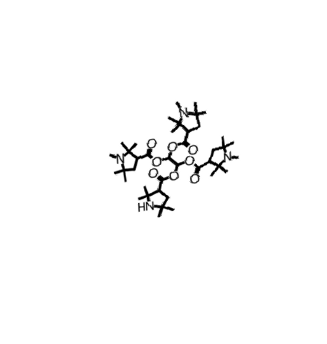 CN1C(C)(C)CC(C(=O)OC(OC(=O)C2CC(C)(C)NC2(C)C)C(OC(=O)C2CC(C)(C)N(C)C2(C)C)OC(=O)C2CC(C)(C)N(C)C2(C)C)C1(C)C